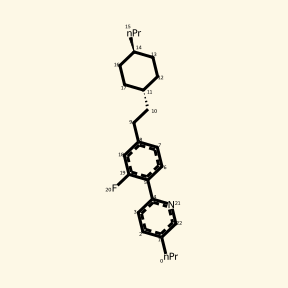 CCCc1ccc(-c2ccc(CC[C@H]3CC[C@H](CCC)CC3)cc2F)nc1